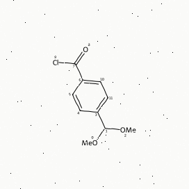 COC(OC)c1ccc(C(=O)Cl)cc1